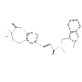 Cc1oc2ccccc2c1CN(C)C(=O)/C=C/c1cnc2c(c1)CC[C@](C)(N)C(=O)N2